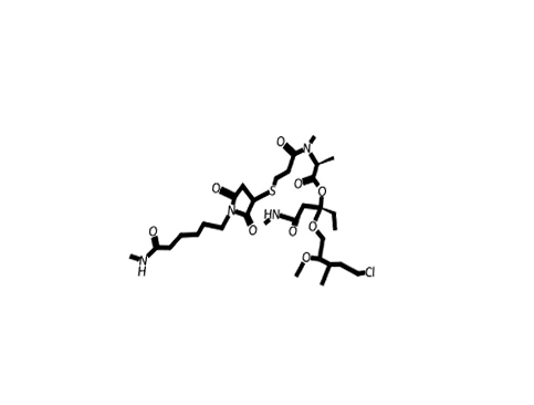 CC[C@](CC(=O)NC)(OCC(OC)C(C)CCCl)OC(=O)[C@H](C)N(C)C(=O)CCSC1CC(=O)N(CCCCCC(=O)NC)C1=O